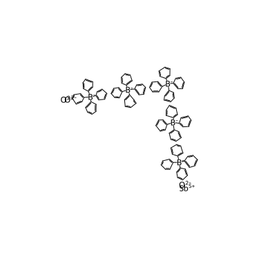 [O-2].[O-2].[O-2].[Sb+5].c1ccc([B-](c2ccccc2)(c2ccccc2)c2ccccc2)cc1.c1ccc([B-](c2ccccc2)(c2ccccc2)c2ccccc2)cc1.c1ccc([B-](c2ccccc2)(c2ccccc2)c2ccccc2)cc1.c1ccc([B-](c2ccccc2)(c2ccccc2)c2ccccc2)cc1.c1ccc([B-](c2ccccc2)(c2ccccc2)c2ccccc2)cc1